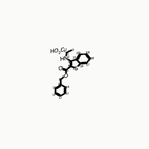 C[C@H](Nc1c(C(=O)OCc2ccccc2)sc2ccccc12)C(=O)O